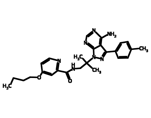 CCCCOc1ccnc(C(=O)NCC(C)(C)n2nc(-c3ccc(C)cc3)c3c(N)ncnc32)c1